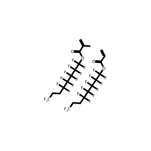 C=C(C)C(=O)OC(F)(F)C(F)(F)C(F)(F)C(F)(F)C(F)(F)CCC(F)(F)F.C=CC(=O)OC(F)(F)C(F)(F)C(F)(F)C(F)(F)C(F)(F)CCC(F)(F)F